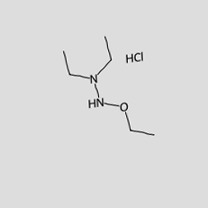 CCONN(CC)CC.Cl